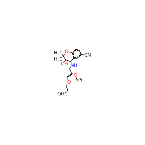 CCCO/C(=C\OCCC=O)CNC1c2cc(C#N)ccc2OC(C)(C)C1O